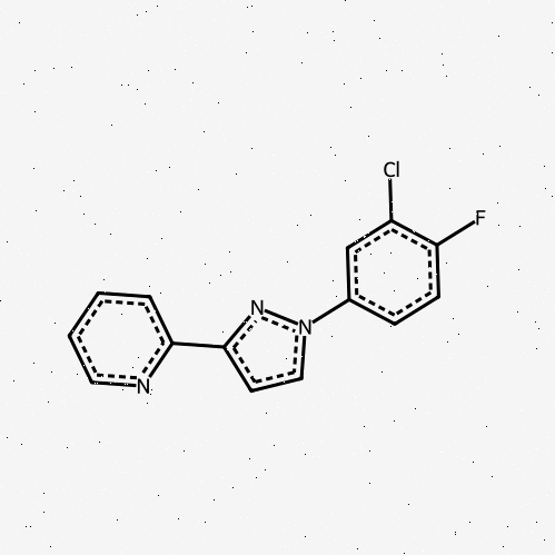 Fc1ccc(-n2ccc(-c3ccccn3)n2)cc1Cl